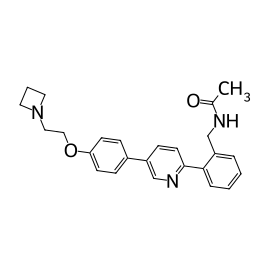 CC(=O)NCc1ccccc1-c1ccc(-c2ccc(OCCN3CCC3)cc2)cn1